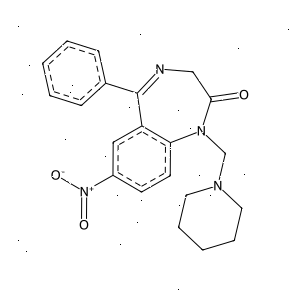 O=C1CN=C(c2ccccc2)c2cc([N+](=O)[O-])ccc2N1CN1CCCCC1